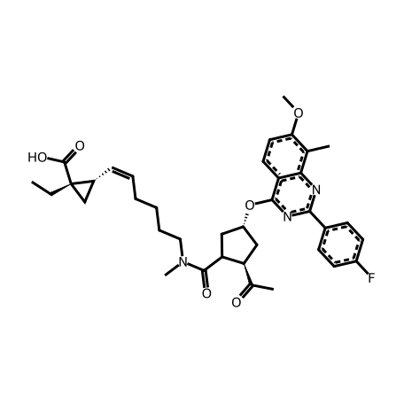 CC[C@]1(C(=O)O)C[C@H]1/C=C\CCCCN(C)C(=O)C1C[C@H](Oc2nc(-c3ccc(F)cc3)nc3c(C)c(OC)ccc23)C[C@H]1C(C)=O